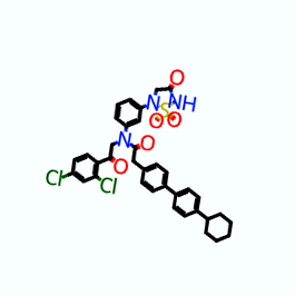 O=C1CN(c2cccc(N(CC(=O)c3ccc(Cl)cc3Cl)C(=O)Cc3ccc(-c4ccc(C5CCCCC5)cc4)cc3)c2)S(=O)(=O)N1